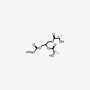 CCCCCCCC(=O)OCC(COC(=O)[C@H](C)O)OC(=O)[C@H](C)O